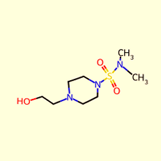 CN(C)S(=O)(=O)N1CCN(CCO)CC1